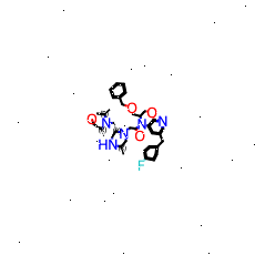 C[C@@H]1CN(CC(=O)N2c3cc(Cc4ccc(F)cc4)cnc3OCC2COCc2ccccc2)[C@@H](CN2[C@H](C)COC[C@H]2C)CN1